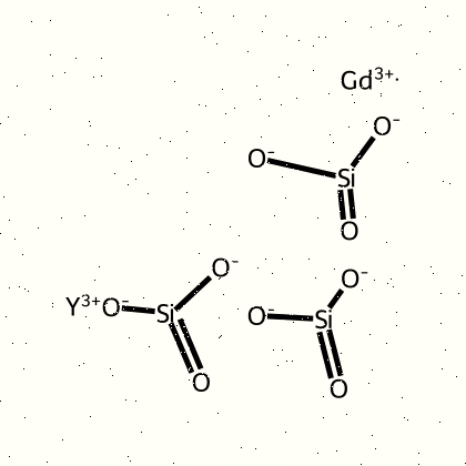 O=[Si]([O-])[O-].O=[Si]([O-])[O-].O=[Si]([O-])[O-].[Gd+3].[Y+3]